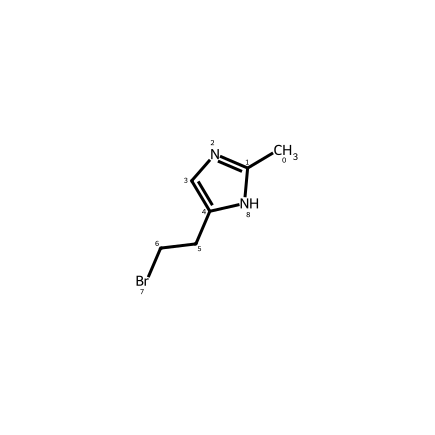 Cc1ncc(CCBr)[nH]1